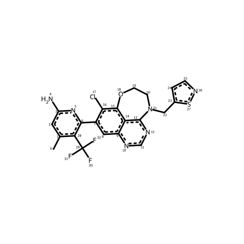 Cc1cc(N)nc(-c2cc3ncnc4c3c(c2Cl)OCCN4Cc2ccns2)c1C(F)(F)F